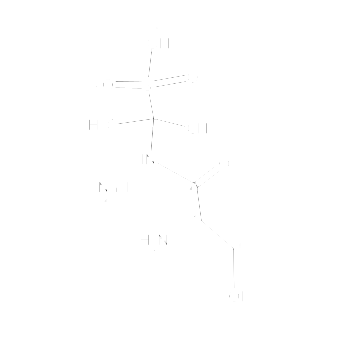 CC(C)(NC(=O)[C@@H](N)CO)S(=O)(=O)O.[NaH]